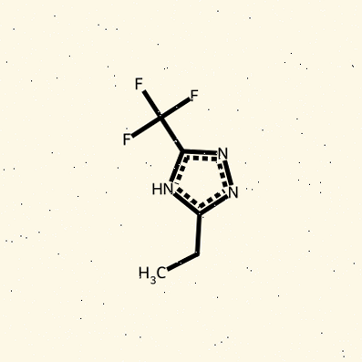 CCc1nnc(C(F)(F)F)[nH]1